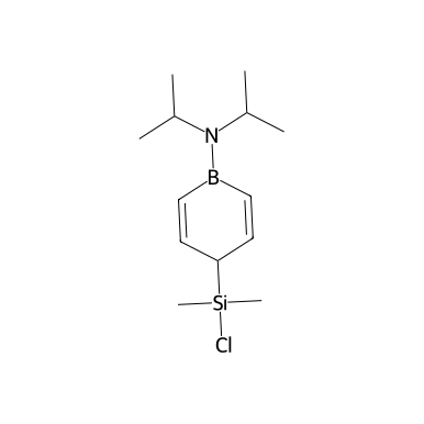 CC(C)N(B1C=CC([Si](C)(C)Cl)C=C1)C(C)C